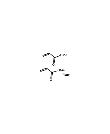 C=C.C=CC(=O)OC.C=CC(=O)OC